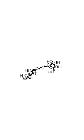 CC(=O)[C@@]1(C)CSC(c2ncc(OCCOCCO[C@@H]3OC(CO)[C@H](O)C(O)[C@H]3O)cc2O)=N1